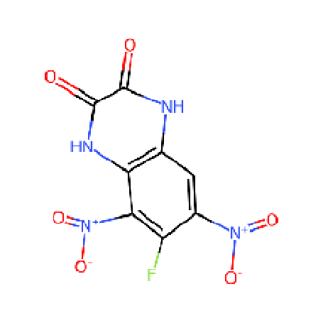 O=c1[nH]c2cc([N+](=O)[O-])c(F)c([N+](=O)[O-])c2[nH]c1=O